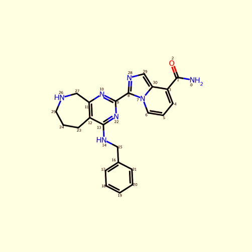 NC(=O)c1cccn2c(-c3nc4c(c(NCc5ccccc5)n3)CCCNC4)ncc12